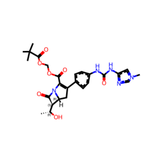 C[C@@H](O)[C@H]1C(=O)N2C(C(=O)OCOC(=O)C(C)(C)C)=C(c3ccc(NC(=O)Nc4cn(C)cn4)cc3)C[C@H]12